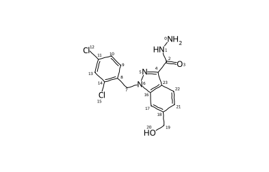 NNC(=O)c1nn(Cc2ccc(Cl)cc2Cl)c2cc(CO)ccc12